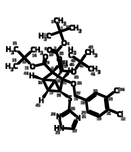 CC(C)(C)OC(=O)N[C@]1(C(=O)OC(C)(C)C)[C@H]2[C@H]3[C@@](Sc4nc[nH]n4)([C@H]1OCc1ccc(Cl)c(Cl)c1)[C@]23C(=O)OC(C)(C)C